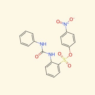 O=C(Nc1ccccc1)Nc1ccccc1S(=O)(=O)Oc1ccc([N+](=O)[O-])cc1